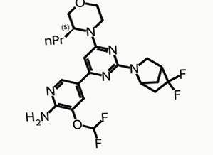 CCC[C@H]1COCCN1c1cc(-c2cnc(N)c(OC(F)F)c2)nc(N2CC3CC2CC3(F)F)n1